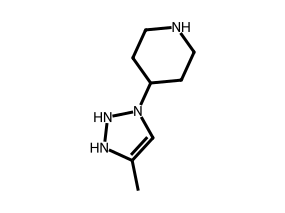 CC1=CN(C2CCNCC2)NN1